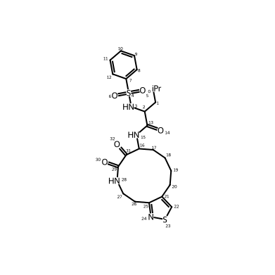 CC(C)CC(NS(=O)(=O)c1ccccc1)C(=O)NC1CCCCc2csnc2CCNC(=O)C1=O